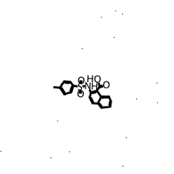 Cc1ccc(S(=O)(=O)Nc2ccc3ccccc3c2C(=O)O)cc1